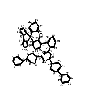 C1=C(c2ccccc2)CCC(c2nc(-c3ccc(-c4ccccc4)cc3)nc(-c3ccccc3-c3cccc4c3Oc3ccccc3C43c4ccccc4-c4ccccc43)n2)C1